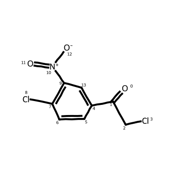 O=C(CCl)c1ccc(Cl)c([N+](=O)[O-])c1